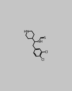 S=CNC(Cc1ccc(Cl)c(Cl)c1)C1CCNCC1